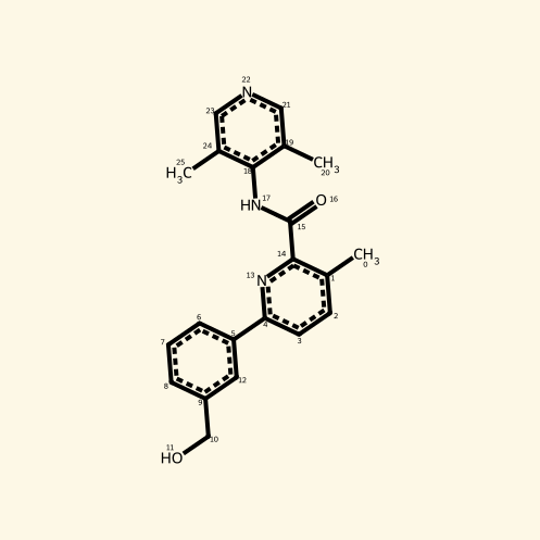 Cc1ccc(-c2cccc(CO)c2)nc1C(=O)Nc1c(C)cncc1C